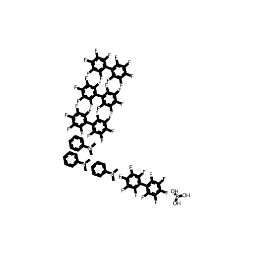 CN(C)c1ccccc1.CN(C)c1ccccc1.CN(C)c1ccccc1.Fc1c(F)c(F)c(-c2c(F)c(F)c(F)c(F)c2F)c(F)c1F.Fc1c(F)c(F)c(-c2c(F)c(F)c(F)c(F)c2F)c(F)c1F.Fc1c(F)c(F)c(-c2c(F)c(F)c(F)c(F)c2F)c(F)c1F.Fc1c(F)c(F)c(-c2c(F)c(F)c(F)c(F)c2F)c(F)c1F.OB(O)O